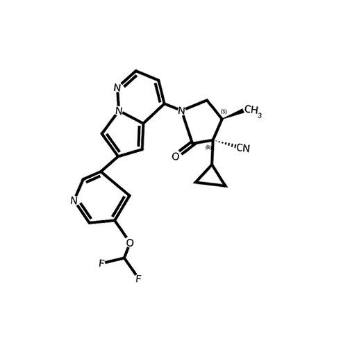 C[C@@H]1CN(c2ccnn3cc(-c4cncc(OC(F)F)c4)cc23)C(=O)[C@]1(C#N)C1CC1